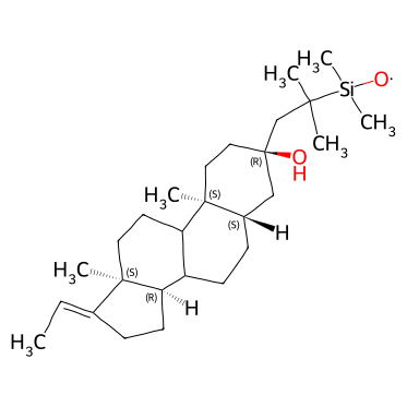 CC=C1CC[C@@H]2C3CC[C@H]4C[C@@](O)(CC(C)(C)[Si](C)(C)[O])CC[C@]4(C)C3CC[C@]12C